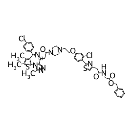 Cc1sc2c(c1C)C(c1ccc(Cl)cc1)=N[C@@H](CC(=O)N1CCN(CCOc3ccc(-c4nc(CC(=O)NCC(=O)OCc5ccccc5)cs4)c(Cl)c3)CC1)c1nnc(C)n1-2